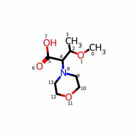 COC(C)C(C(=O)O)N1CCOCC1